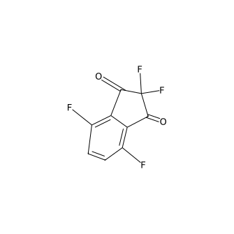 O=C1c2c(F)ccc(F)c2C(=O)C1(F)F